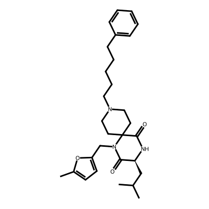 Cc1ccc(CN2C(=O)[C@H](CC(C)C)NC(=O)C23CCN(CCCCCc2ccccc2)CC3)o1